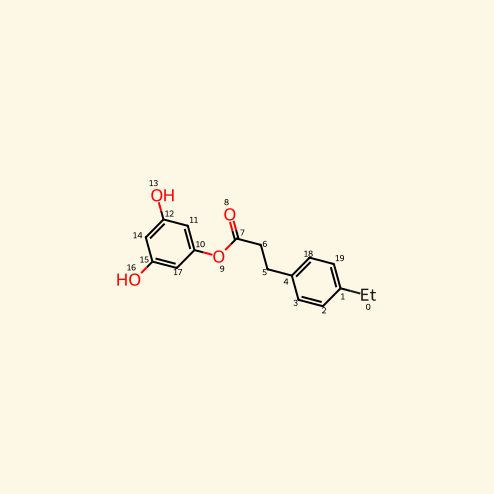 CCc1ccc(CCC(=O)Oc2cc(O)cc(O)c2)cc1